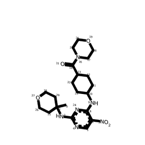 CC1(Nc2ncc([N+](=O)[O-])c(NC3CCC(C(=O)N4CCOCC4)CC3)n2)CCOCC1